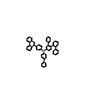 c1ccc(-c2ccc(N(c3ccc(-c4cc5ccccc5c5ccccc45)cc3)c3ccc(-c4ccccc4-c4ccccc4)c(-c4ccccc4)c3)cc2)cc1